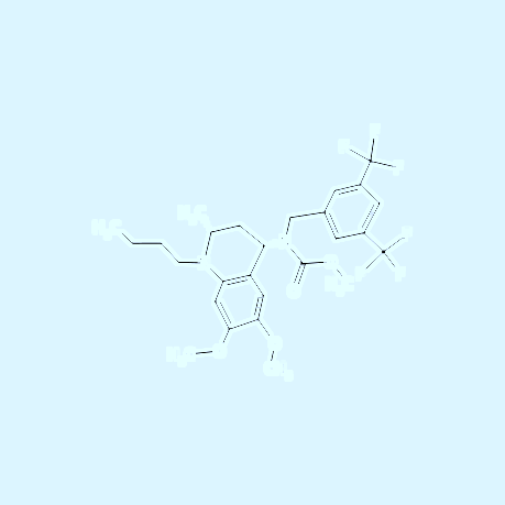 CCCCN1c2cc(OC)c(OC)cc2[C@@H](N(Cc2cc(C(F)(F)F)cc(C(F)(F)F)c2)C(=O)OC)C[C@H]1C